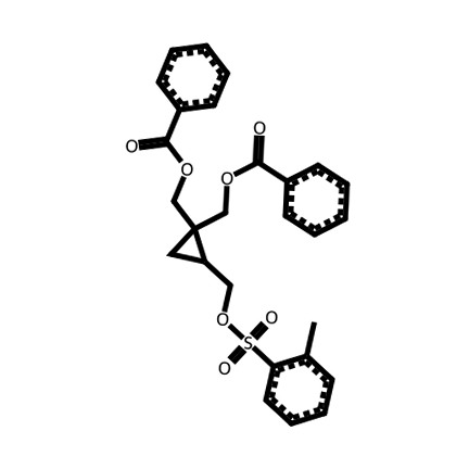 Cc1ccccc1S(=O)(=O)OCC1CC1(COC(=O)c1ccccc1)COC(=O)c1ccccc1